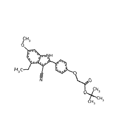 CCc1cc(OC)cc2[nH]c(-c3ccc(OCC(=O)OC(C)(C)C)cc3)c(C#N)c12